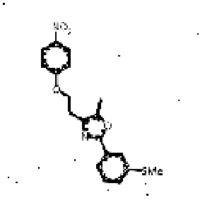 CSc1cccc(-c2nc(CCOc3ccc([N+](=O)[O-])cc3)c(C)o2)c1